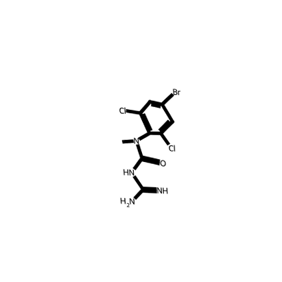 CN(C(=O)NC(=N)N)c1c(Cl)cc(Br)cc1Cl